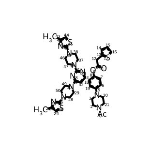 CC(=O)N1CCN(c2ccc(OC(=O)Cc3cccs3)cc2)CC1.Cc1csc(N2CCN(c3ccnc(N4CCN(c5nc(C)cs5)CC4)n3)CC2)n1